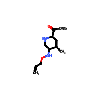 C=CCONC1CNC(C(=O)OC)C=C1C